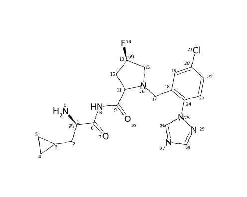 N[C@H](CC1CC1)C(=O)NC(=O)C1C[C@@H](F)CN1Cc1cc(Cl)ccc1-n1cncn1